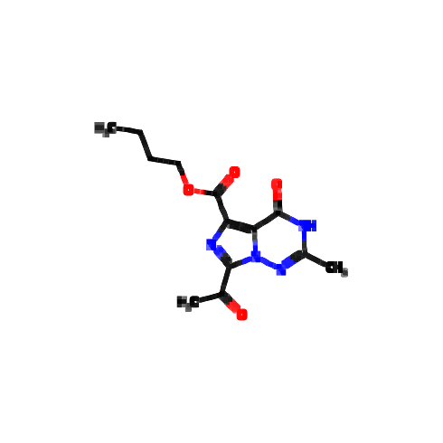 CCCCOC(=O)c1nc(C(C)=O)n2nc(C)[nH]c(=O)c12